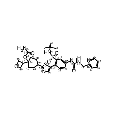 CC(C)(C)NS(=O)(=O)c1cc(NC(=O)NCc2ccccn2)ccc1-c1cnc(C2CCC(OC(N)=O)(C3COC3)CC2)s1